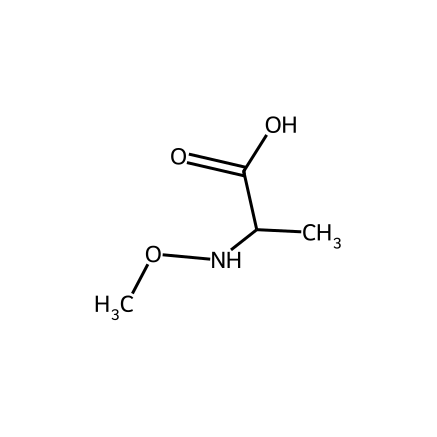 CONC(C)C(=O)O